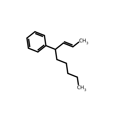 C/C=C/C(CCCCC)c1ccccc1